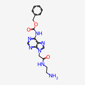 NCCNC(=O)Cn1cnc2c(NC(=O)OCc3ccccc3)ncnc21